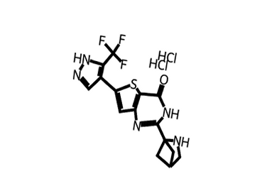 Cl.Cl.O=c1[nH]c(C23CC(CN2)C3)nc2cc(-c3cn[nH]c3C(F)(F)F)sc12